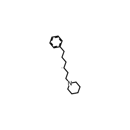 [CH](CCCc1ccccc1)CCN1CCCCC1